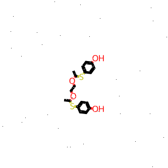 CC(OCCOC(C)Sc1ccc(O)cc1)Sc1ccc(O)cc1